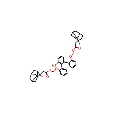 CC1(CC(=O)OCOc2ccccc2-c2cccc(S)c2-c2ccccc2OCOC(=O)CC2(C)C3CC4CC(C3)CC2C4)C2CC3CC(C2)CC1C3